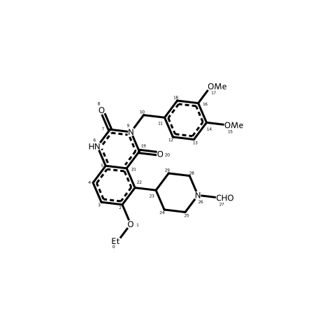 CCOc1ccc2[nH]c(=O)n(Cc3ccc(OC)c(OC)c3)c(=O)c2c1C1CCN(C=O)CC1